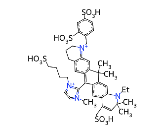 CCN1c2cc3c(cc2C(CS(=O)(=O)O)=CC1(C)C)C(c1n(C)cc[n+]1CCCCS(=O)(=O)O)=c1cc2c(cc1C3(C)C)=[N+](Cc1ccc(S(=O)(=O)O)cc1S(=O)(=O)O)CCC2